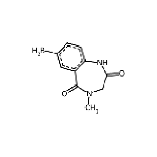 Bc1ccc2c(c1)C(=O)N(C)CC(=O)N2